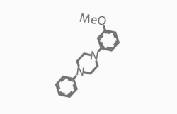 COc1cccc(N2CCN(c3ccccc3)CC2)c1